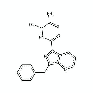 CC(C)(C)C(NC(=O)c1nn(Cc2ccccc2)c2ncccc12)C(N)=O